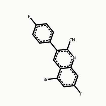 N#Cc1nc2cc(F)cc(Br)c2cc1-c1ccc(F)cc1